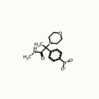 CNC(=O)C(C)(c1ccc([N+](=O)[O-])cc1)N1CCOCC1